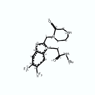 CC(C)(C)NC(=O)Cn1c(CN2CCNCC2=O)nc2cc(C(F)(F)F)c(C(F)(F)F)cc21